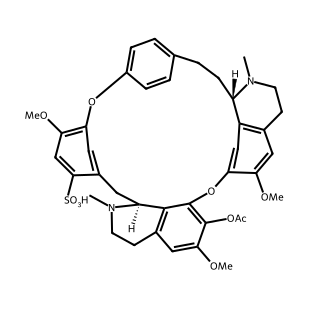 COc1cc(S(=O)(=O)O)c2cc1Oc1ccc(cc1)CC[C@H]1c3cc(c(OC)cc3CCN1C)Oc1c(OC(C)=O)c(OC)cc3c1[C@H](C2)N(C)CC3